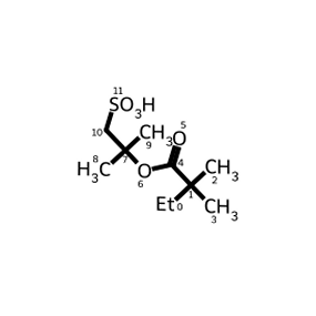 CCC(C)(C)C(=O)OC(C)(C)CS(=O)(=O)O